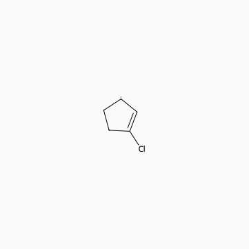 ClC1=C[CH]CC1